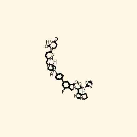 O=C1CCN(c2ccc(CN3C[C@H]4C[C@@H]3CN4c3ccc(-c4cc(F)c5c(c4)C(=O)N(C(C(=O)Nc4nccs4)c4ncn6c4CCC6)C5)cc3)nn2)C(=O)N1